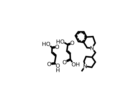 CN1CCC(CN2CCc3ccccc3C2)CC1.O=C(O)C=CC(=O)O.O=C(O)C=CC(=O)O